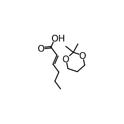 CC1(C)OCCCO1.CCC/C=C/C(=O)O